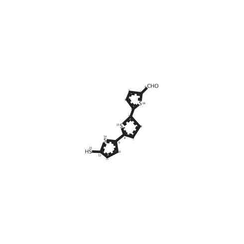 O=Cc1ccc(-c2ccc(-c3ccc(S)s3)s2)s1